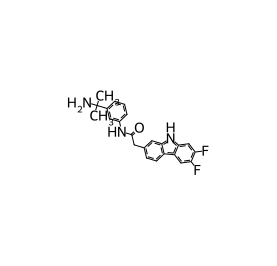 CC(C)(N)c1cccc(NC(=O)Cc2ccc3c(c2)[nH]c2cc(F)c(F)cc23)c1